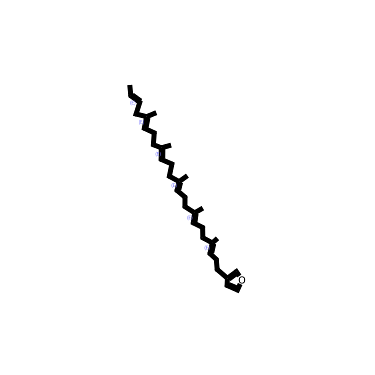 C/C=C/C/C(C)=C/CC/C(C)=C/CC/C(C)=C/CC/C(C)=C/CC/C(C)=C/CCc1ccoc1